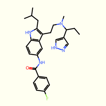 CCC(c1cn[nH]c1)N(C)CCc1c(CC(C)C)[nH]c2ccc(NC(=O)c3ccc(F)cc3)cc12